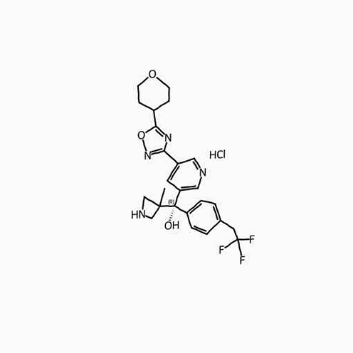 CC1([C@](O)(c2ccc(CC(F)(F)F)cc2)c2cncc(-c3noc(C4CCOCC4)n3)c2)CNC1.Cl